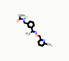 COC(=O)N(Cl)Cc1cccc(C(C)=NOCc2cccc(C)n2)c1